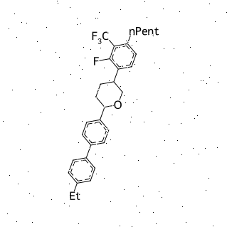 CCCCCc1ccc(C2CCC(c3ccc(-c4ccc(CC)cc4)cc3)OC2)c(F)c1C(F)(F)F